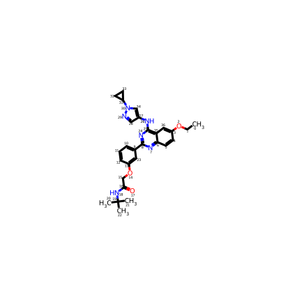 CCOc1ccc2nc(-c3cccc(OCC(=O)NC(C)(C)C)c3)nc(Nc3cnn(C4CC4)c3)c2c1